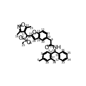 Cc1ccc(C(NC(=O)Cc2ccc3oc(C(c4c(C)noc4C)S(C)(=O)=O)cc3c2)c2ccccc2)c(C)c1